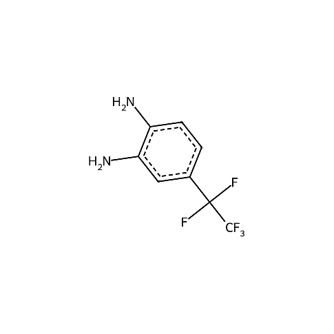 Nc1ccc(C(F)(F)C(F)(F)F)cc1N